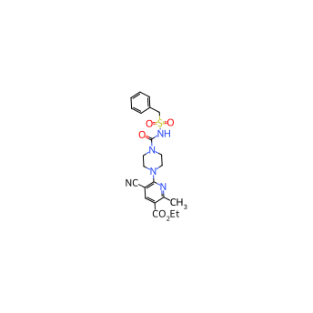 CCOC(=O)c1cc(C#N)c(N2CCN(C(=O)NS(=O)(=O)Cc3ccccc3)CC2)nc1C